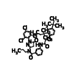 CCCN(C(=O)c1cccc(NC(=O)COc2ccc(C(C)(C)CC)cc2C(C)(C)CC)c1)C1=NN(c2c(Cl)cc(Cl)cc2Cl)C(=O)C1